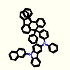 c1ccc(N(c2cccc(C3(c4ccccc4)c4ccccc4C4(c5ccccc5)c5ccccc5-c5cccc3c54)c2)c2ccc3c(c2)c2ccccc2n3-c2ccc3ccccc3c2)cc1